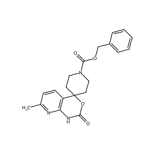 Cc1ccc2c(n1)NC(=O)OC21CCN(C(=O)OCc2ccccc2)CC1